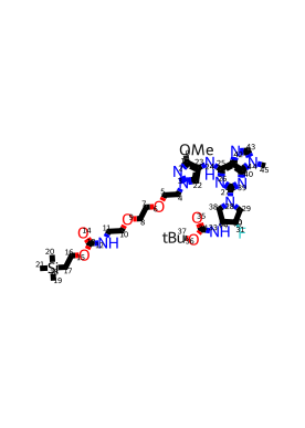 COc1nn(CCOCCOCCNC(=O)OCC[Si](C)(C)C)cc1Nc1nc(N2C[C@@H](F)[C@H](NC(=O)OC(C)(C)C)C2)nc2c1ncn2C